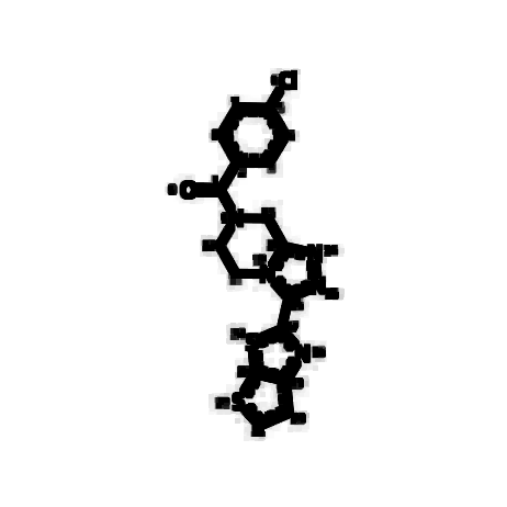 O=C(c1ccc(Cl)cc1)N1CCn2c(nnc2-c2nc3ccsc3s2)C1